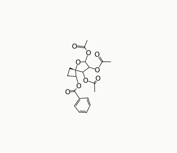 CC(=O)OC1O[C@]2(CCC2OC(=O)c2ccccc2)C(OC(C)=O)C1OC(C)=O